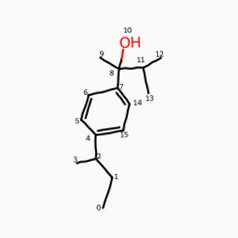 CCC(C)c1ccc(C(C)(O)C(C)C)cc1